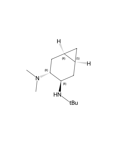 CN(C)[C@@H]1C[C@H]2C[C@H]2C[C@H]1NC(C)(C)C